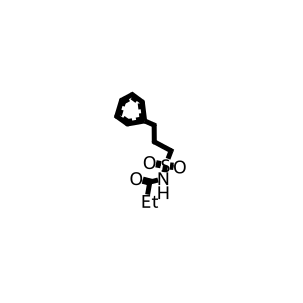 CCC(=O)NS(=O)(=O)CCCc1ccccc1